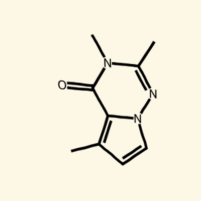 Cc1ccn2nc(C)n(C)c(=O)c12